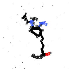 COC(=O)CCCCc1ccc(N(CC2CC2)C(C)C)c(N)c1